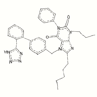 CCCCCc1nc2c(c(=O)n(-c3ccccc3)c(=O)n2CCC)n1Cc1ccc(-c2ccccc2-c2nnn[nH]2)cc1